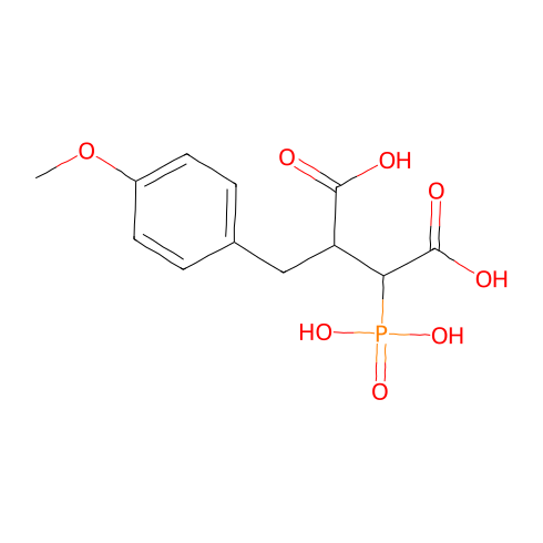 COc1ccc(CC(C(=O)O)C(C(=O)O)P(=O)(O)O)cc1